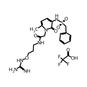 Cc1ccc(NS(=O)(=O)Cc2ccccc2)c(=O)n1CC(=O)NCCCONC(=N)N.O=C(O)C(F)(F)F